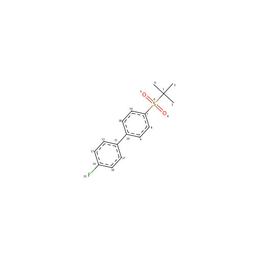 CC(C)(C)S(=O)(=O)c1ccc(-c2ccc(F)cc2)cc1